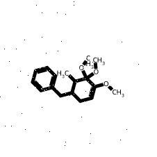 COC1=CCC(Cc2ccccc2)C(C)C1(OC)OC